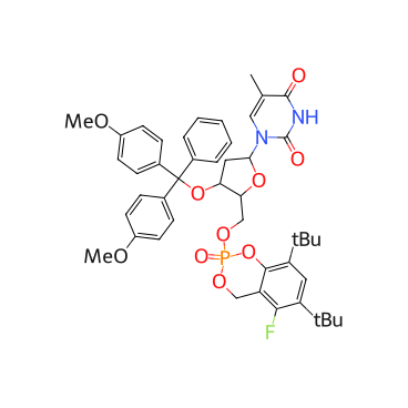 COc1ccc(C(OC2CC(n3cc(C)c(=O)[nH]c3=O)OC2COP2(=O)OCc3c(F)c(C(C)(C)C)cc(C(C)(C)C)c3O2)(c2ccccc2)c2ccc(OC)cc2)cc1